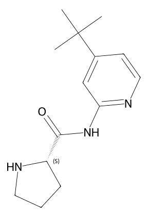 CC(C)(C)c1ccnc(NC(=O)[C@@H]2CCCN2)c1